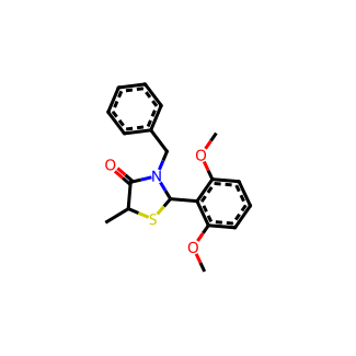 COc1cccc(OC)c1C1SC(C)C(=O)N1Cc1ccccc1